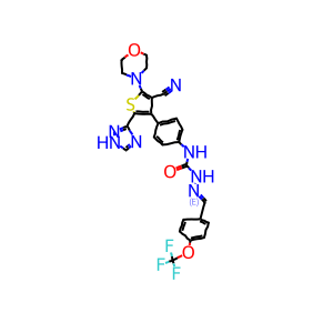 N#Cc1c(N2CCOCC2)sc(-c2nc[nH]n2)c1-c1ccc(NC(=O)N/N=C/c2ccc(OC(F)(F)F)cc2)cc1